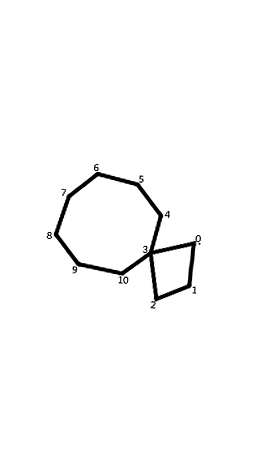 [CH]1CCC12CCCCCCC2